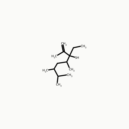 C=C(C)C(S)(CC)C(C)CC(C)C(C)C